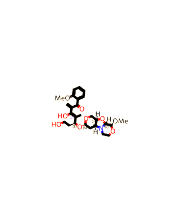 C=C(C(=O)c1ccccc1OC)/C(O)=C(\C)[C@H](CCO)O[C@H]1C[C@H]2[C@@H](CO1)O[C@@H]1[C@@H](OC)OCCN12